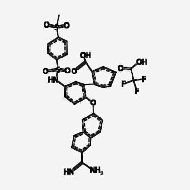 CS(=O)(=O)c1ccc(S(=O)(=O)Nc2ccc(Oc3ccc4cc(C(=N)N)ccc4c3)c(-c3ccccc3C(=O)O)c2)cc1.O=C(O)C(F)(F)F